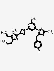 C=Cc1c(/C=C\C)nc(C2CN(c3cc(-n4nc(C)nc4Cc4ccc(F)cc4)nc(C)n3)C2)n1C